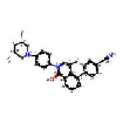 Cc1cn(-c2ccc(N3C[C@H](C)C[C@@H](C)C3)cc2)c(=O)c2cccc(-c3ccc(C#N)cc3)c12